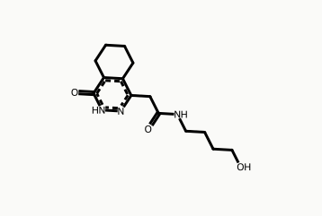 O=C(Cc1n[nH]c(=O)c2c1CCCC2)NCCCCO